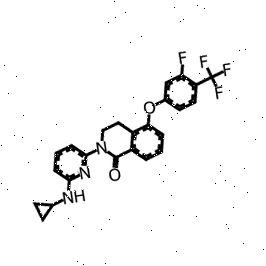 O=C1c2cccc(Oc3ccc(C(F)(F)F)c(F)c3)c2CCN1c1cccc(NC2CC2)n1